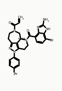 C=CC(=O)N1CCc2nn(-c3ccc(C(C)C)cc3)c3c2[C@H](C1)N(C(=O)c1ccc(Br)c2[nH]c(N)nc12)CC3